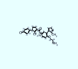 Cn1nccc1-c1cc(NC(=O)C2=C(C(F)(F)F)C(c3ccc(Cl)cc3)C=C2)ccc1OCCN